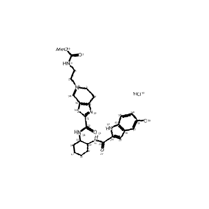 COC(=O)NCCN1CCc2nc(C(=O)NC3CCCCC3NC(=O)c3cc4cc(Cl)ccc4[nH]3)sc2C1.Cl